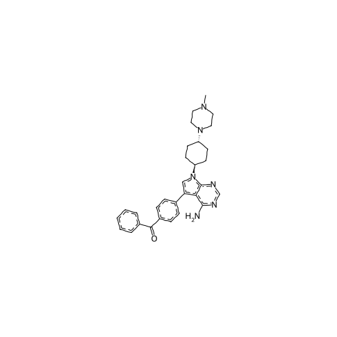 CN1CCN([C@H]2CC[C@H](n3cc(-c4ccc(C(=O)c5ccccc5)cc4)c4c(N)ncnc43)CC2)CC1